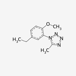 CCc1ccc(OC)c(-n2nnnc2C)c1